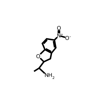 CC(N)C1Cc2cc([N+](=O)[O-])ccc2O1